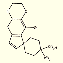 NC1(C(=O)O)CCC2(C=CC3=C2C(Br)=C2OCCOC2C3)CC1